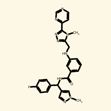 Cn1cc(C(NC(=O)c2cccc(NCc3nnc(-c4ccncn4)n3C)c2)c2ccc(F)cc2)cn1